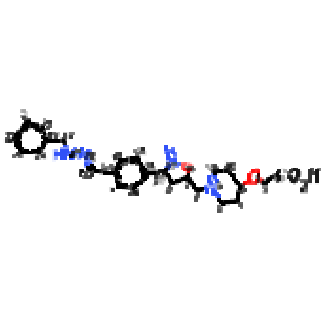 O=C(O)COC1CCN(CC2CC(c3ccc(C=NNCc4ccccc4)cc3)NO2)CC1